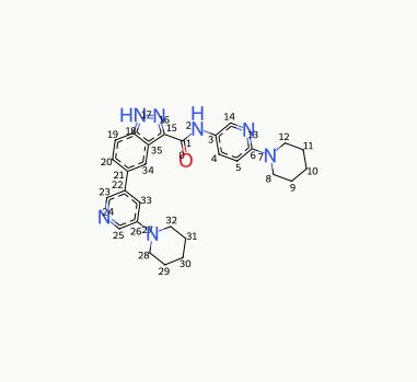 O=C(Nc1ccc(N2CCCCC2)nc1)c1n[nH]c2ccc(-c3cncc(N4CCCCC4)c3)cc12